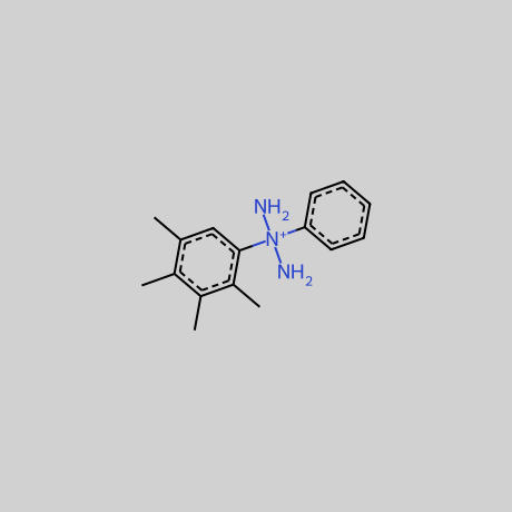 Cc1cc([N+](N)(N)c2ccccc2)c(C)c(C)c1C